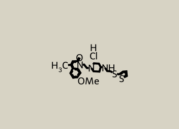 COc1ccc2c(C)cc(=O)n(CCN3CCC(NCCSc4cccs4)CC3)c2c1.Cl